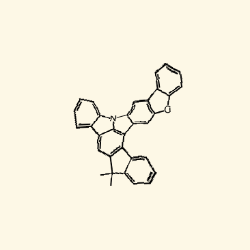 CC1(C)c2ccccc2-c2c1cc1c3ccccc3n3c4cc5c(cc4c2c13)oc1ccccc15